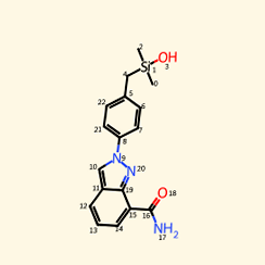 C[Si](C)(O)Cc1ccc(-n2cc3cccc(C(N)=O)c3n2)cc1